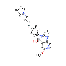 COc1cc2c(cn1)=NC(C)N(c1ccc(OCCCN3CCCC3)cc1)C=2O